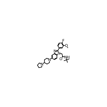 COc1cc(-c2nc3cc(N4CCC(N5CCCC5)CC4)ccc3n2CC(=O)NC(C)(C)C)ccc1F